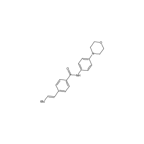 CC(C)(C)/C=C/c1ccc(C(=O)Nc2ccc(N3CCOCC3)cc2)cc1